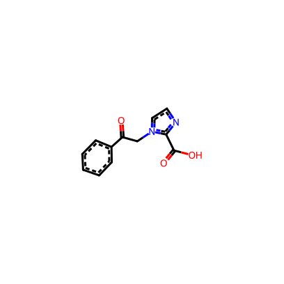 O=C(Cn1ccnc1C(=O)O)c1ccccc1